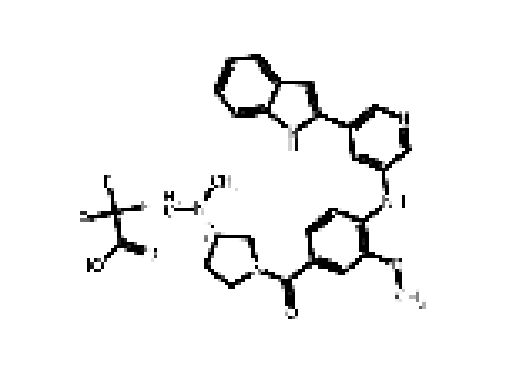 COc1cc(C(=O)N2CC[C@H](N(C)C)C2)ccc1Nc1cncc(-c2cc3ccccc3[nH]2)c1.O=C(O)C(F)(F)F